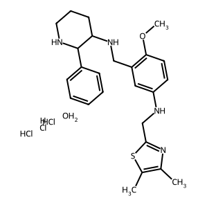 COc1ccc(NCc2nc(C)c(C)s2)cc1CNC1CCCNC1c1ccccc1.Cl.Cl.Cl.O